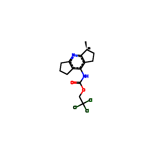 C[C@@H]1CCc2c1nc1c(c2NC(=O)OCC(Cl)(Cl)Cl)CCC1